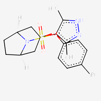 Cc1n[nH]c(C)c1S(=O)(=O)N1[C@@H]2CC[C@H]1C[C@@H](Oc1ccc(C(C)C)cc1)C2